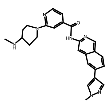 CNC1CCN(c2cc(C(=O)Nc3cc4cc(-c5cnn(C)c5)ccc4cn3)ccn2)CC1